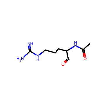 CC(=O)NC([C]=O)CCCNC(=N)N